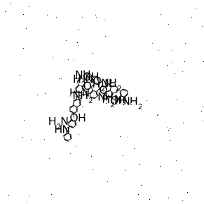 Nc1cc2ccccc2cc1O.Nc1ccc(N)c2c1C(=O)c1c(N)ccc(N)c1C2=O.Nc1ccc2cc(O)ccc2c1.Nc1cccc2c(O)cccc12.Nc1ccccc1N.Nc1ccccc1Nc1ccccc1